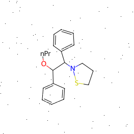 CCCOC(c1ccccc1)C(c1ccccc1)N1CCCS1